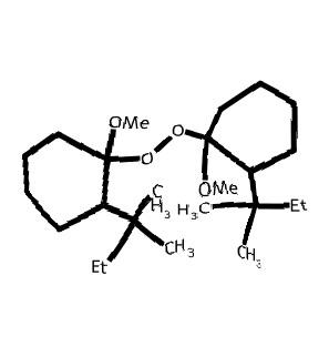 CCC(C)(C)C1CCCCC1(OC)OOC1(OC)CCCCC1C(C)(C)CC